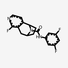 O=C(Nc1cc(F)cc(F)c1)N1C2CCC1c1ccnc(F)c1C2